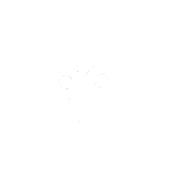 CS(=O)(=NC(=O)c1cncc(C#Cc2ccc(Cl)cc2)c1)c1cc(Cl)cc(Cl)c1